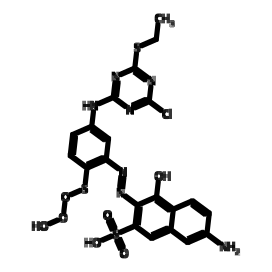 CCSc1nc(Cl)nc(Nc2ccc(SOOO)c(N=Nc3c(S(=O)(=O)O)cc4cc(N)ccc4c3O)c2)n1